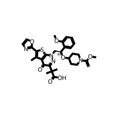 C=C(OC)N1CCC(O[C@@H](Cn2nc(C(C)(C)C(=O)O)c(=O)c3c(C)c(-c4ncco4)sc32)c2ccccc2OC)CC1